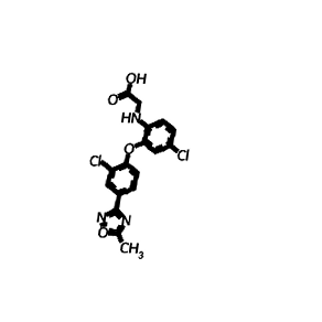 Cc1nc(-c2ccc(Oc3cc(Cl)ccc3NCC(=O)O)c(Cl)c2)no1